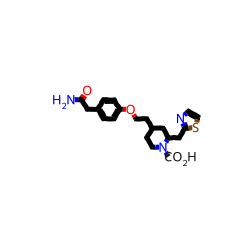 NC(=O)Cc1ccc(OCCC2CCN(C(=O)O)C(Cc3nccs3)C2)cc1